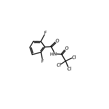 O=C(NC(=O)C(Cl)(Cl)Cl)c1c(F)cccc1F